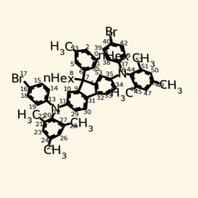 CCCCCCc1cc(C)cc(C2(CCCCCC)c3cc(N(c4ccc(Br)cc4)c4c(C)cc(C)cc4C)ccc3-c3ccc(N(c4ccc(Br)cc4)c4c(C)cc(C)cc4C)cc32)c1